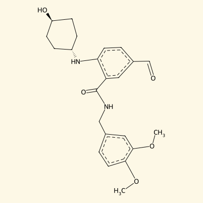 COc1ccc(CNC(=O)c2cc(C=O)ccc2N[C@H]2CC[C@H](O)CC2)cc1OC